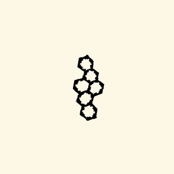 [c]1c2ccccc2c2ccc3cc4ccccc4c4ccc1c2c34